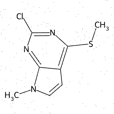 CSc1nc(Cl)nc2c1ccn2C